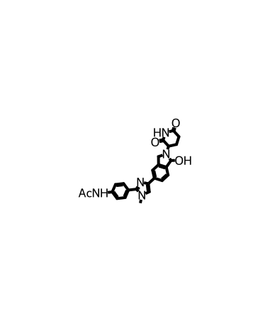 CC(=O)Nc1ccc(-c2nc(-c3ccc4c(c3)CN(C3CCC(=O)NC3=O)C4O)cn2C)cc1